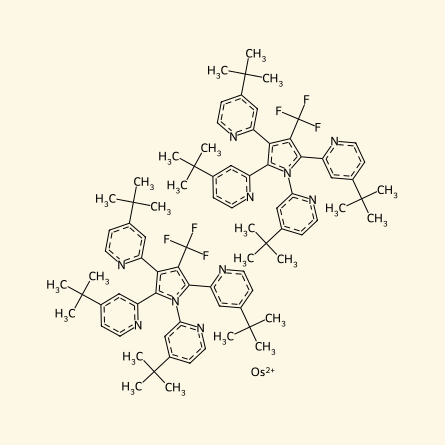 CC(C)(C)c1ccnc(-c2c(C(F)(F)F)c(-c3cc(C(C)(C)C)ccn3)n(-c3cc(C(C)(C)C)ccn3)c2-c2cc(C(C)(C)C)ccn2)c1.CC(C)(C)c1ccnc(-c2c(C(F)(F)F)c(-c3cc(C(C)(C)C)ccn3)n(-c3cc(C(C)(C)C)ccn3)c2-c2cc(C(C)(C)C)ccn2)c1.[Os+2]